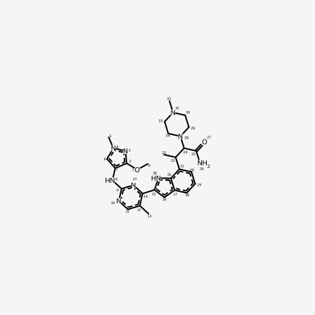 COc1nn(C)cc1Nc1ncc(C)c(-c2cc3cccc(C(C)C(C(N)=O)N4CCN(C)CC4)c3[nH]2)n1